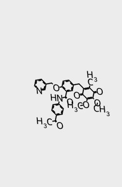 COC1=C(OC)C(=O)C(Cc2ccc(OCc3cccnc3)c(C(=O)Nc3ccc(C(C)=O)cc3)c2)=C(C)C1=O